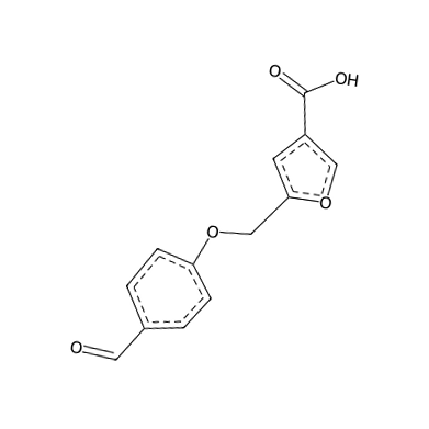 O=Cc1ccc(OCc2cc(C(=O)O)co2)cc1